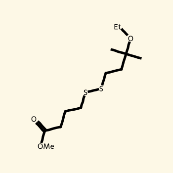 CCOC(C)(C)CCSSCCCC(=O)OC